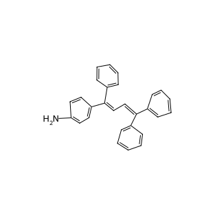 Nc1ccc(C(=CC=C(c2ccccc2)c2ccccc2)c2ccccc2)cc1